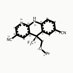 CC(C)OC[C@@]1(C(F)(F)F)c2cc(C#N)ccc2Nc2ncc(C#N)cc21